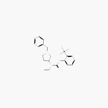 CCN(C(=O)Nc1ccccc1C(C)(C)C)C1CCN(Cc2ccccc2)C1